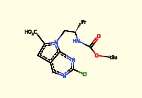 CC(C)[C@@H](Cn1c(C(=O)O)cc2cnc(Cl)nc21)NC(=O)OC(C)(C)C